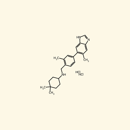 Cc1cc(-c2cc3[nH]cnc3cc2C)ccc1CNC1CCC(C)(C)CC1.Cl.Cl